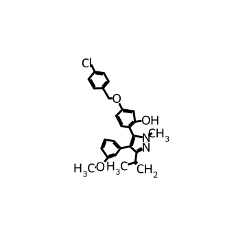 C=C(C)c1nn(C)c(-c2ccc(OCc3ccc(Cl)cc3)cc2O)c1-c1cccc(OC)c1